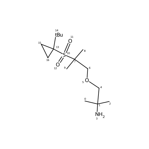 CC(C)(N)COCC(C)(C)S(=O)(=O)C1(C(C)(C)C)CC1